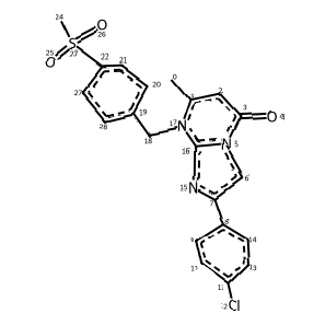 Cc1cc(=O)n2cc(-c3ccc(Cl)cc3)nc2n1Cc1ccc(S(C)(=O)=O)cc1